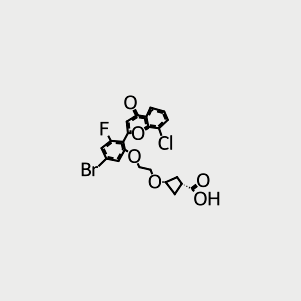 O=c1cc(-c2c(F)cc(Br)cc2OCCO[C@H]2C[C@@H](C(=O)O)C2)oc2c(Cl)cccc12